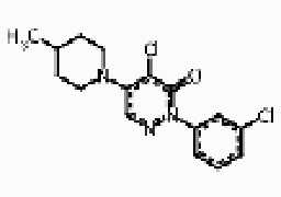 CC1CCN(c2cnn(-c3cccc(Cl)c3)c(=O)c2Cl)CC1